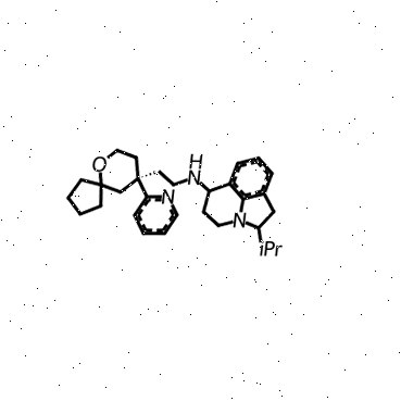 CC(C)C1Cc2cccc3c2N1CCC3NCC[C@@]1(c2ccccn2)CCOC2(CCCC2)C1